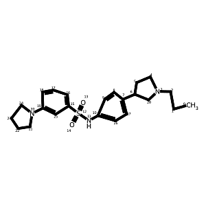 CCCN1CCC(c2ccc(NS(=O)(=O)c3cccc(N4CCCC4)c3)cc2)C1